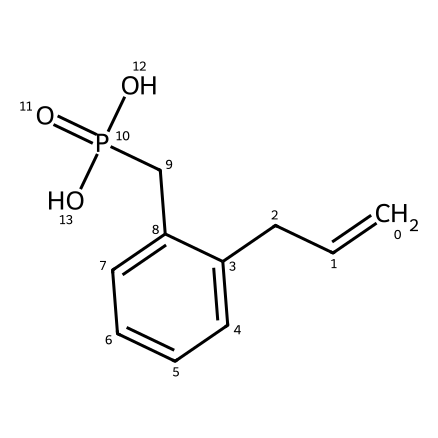 C=CCc1ccccc1CP(=O)(O)O